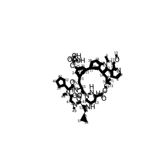 CCn1c(-c2cccnc2[C@H](C)OC)c2c3cc(ccc31)-c1cc(cc(OP(=O)(O)O)c1)C[C@H](NC(=O)C(C1CCCC1)N(C)C(=O)CN(C)C(=O)[C@@H]1N[C@@H]1C1CC1)C(=O)N1CCC[C@H](N1)C(=O)OCC(C)(C)C2